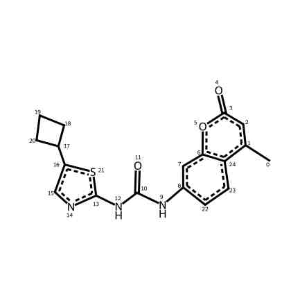 Cc1cc(=O)oc2cc(NC(=O)Nc3ncc(C4CCC4)s3)ccc12